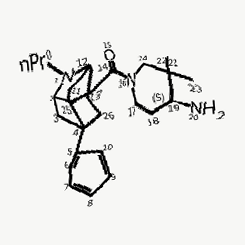 CCCN1C2CC3(c4ccccc4)CC1C(C(=O)N1CC[C@H](N)C(C)(C)C1)(C2)C3